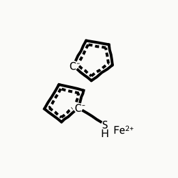 S[c-]1cccc1.[Fe+2].c1cc[cH-]c1